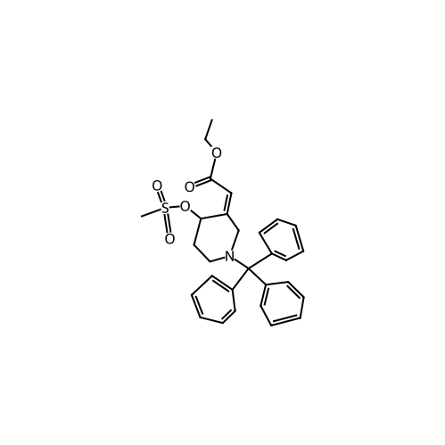 CCOC(=O)/C=C1/CN(C(c2ccccc2)(c2ccccc2)c2ccccc2)CCC1OS(C)(=O)=O